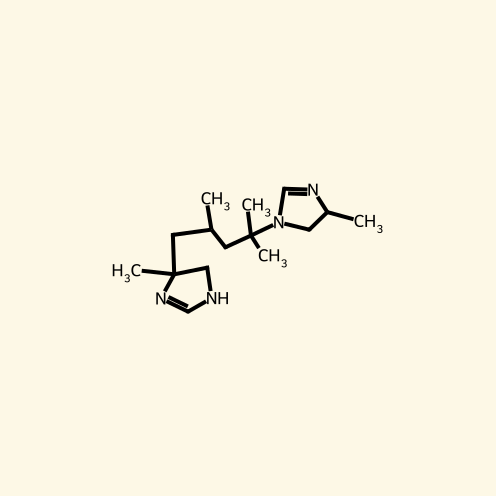 CC(CC1(C)CNC=N1)CC(C)(C)N1C=NC(C)C1